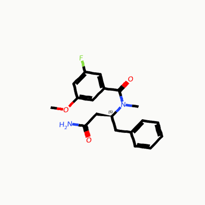 COc1cc(F)cc(C(=O)N(C)[C@H](CC(N)=O)Cc2ccccc2)c1